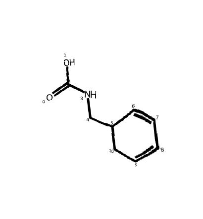 O=C(O)NCC1C=CC=CC1